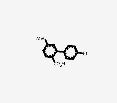 CCc1ccc(-c2cc(OC)ccc2C(=O)O)cc1